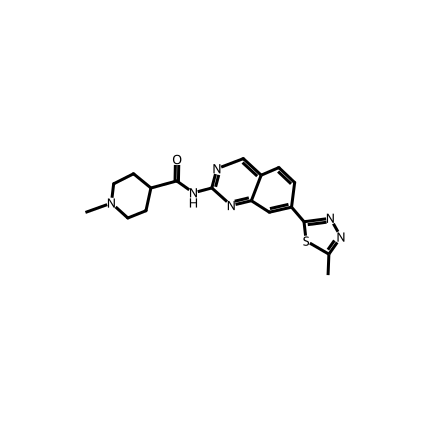 Cc1nnc(-c2ccc3cnc(NC(=O)C4CCN(C)CC4)nc3c2)s1